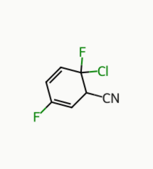 N#CC1C=C(F)C=CC1(F)Cl